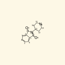 O=C1c2ccccc2C(=O)N1C1CC[N]CC1